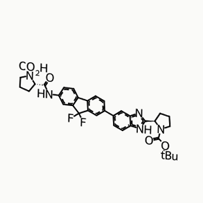 CC(C)(C)OC(=O)N1CCC[C@@H]1c1nc2cc(-c3ccc4c(c3)C(F)(F)c3cc(NC(=O)[C@@H]5CCCN5C(=O)O)ccc3-4)ccc2[nH]1